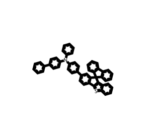 c1ccc(-c2ccc(N(c3ccccc3)c3ccc(-c4ccc5c(c4)C4(c6ccccc6-c6ccccc64)c4c-5sc5ccccc45)cc3)cc2)cc1